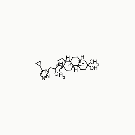 C[C@@]1(O)CC[C@@]2(F)[C@H](CC[C@H]3[C@@H]4CC[C@H](C(=O)Cn5nncc5C5CC5)[C@@]4(C)CC[C@@H]32)C1